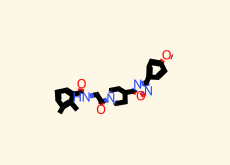 COc1ccc(-c2noc(C3CCN(C(=O)CNC(=O)c4cccc(C)c4C)CC3)n2)cc1